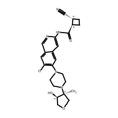 C[C@]1(N2CCN(c3cc4cc(NC(=O)[C@@H]5CC[C@H]5C#N)ncc4cc3Cl)CC2)COC[C@H]1O